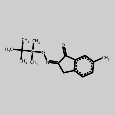 Cc1ccc2c(c1)C(=O)C(=NO[Si](C)(C)C(C)(C)C)C2